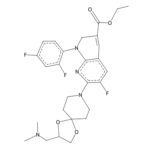 CCOC(=O)C1=Cc2cc(F)c(N3CCC4(CC3)OCC(CN(C)C)O4)nc2N(c2ccc(F)cc2F)C1